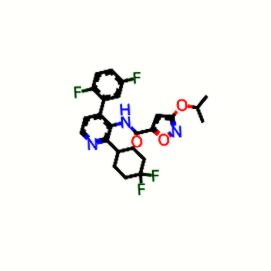 CC(C)Oc1cc(C(=O)Nc2c(-c3cc(F)ccc3F)ccnc2C2CCC(F)(F)CC2)on1